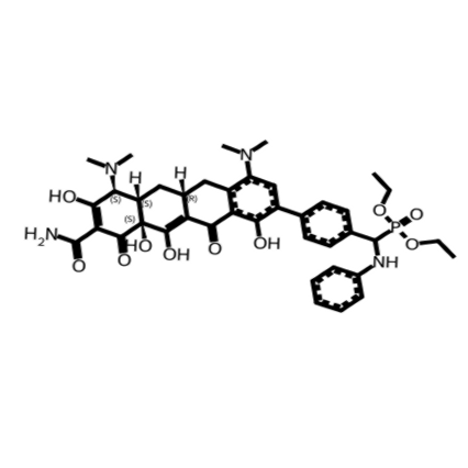 CCOP(=O)(OCC)C(Nc1ccccc1)c1ccc(-c2cc(N(C)C)c3c(c2O)C(=O)C2=C(O)[C@]4(O)C(=O)C(C(N)=O)=C(O)[C@@H](N(C)C)[C@@H]4C[C@@H]2C3)cc1